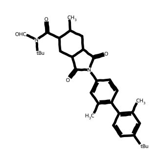 Cc1cc(N2C(=O)C3CC(C)C(C(=O)N(C=O)C(C)(C)C)CC3C2=O)ccc1-c1ccc(C(C)(C)C)cc1C